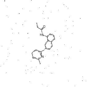 C=CC(=O)Nc1cccc2ccc(-c3ccnc(C)n3)cc12